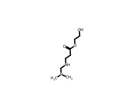 CN(C)CNCCC(=O)OCCO